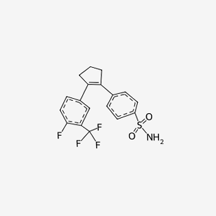 NS(=O)(=O)c1ccc(C2=C(c3ccc(F)c(C(F)(F)F)c3)CCC2)cc1